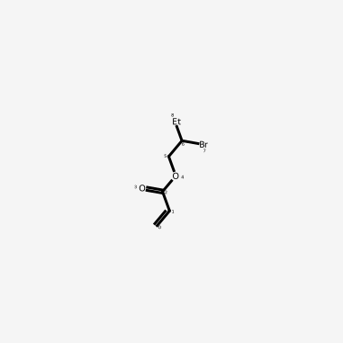 C=CC(=O)OCC(Br)CC